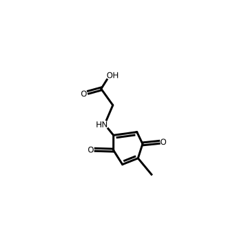 CC1=CC(=O)C(NCC(=O)O)=CC1=O